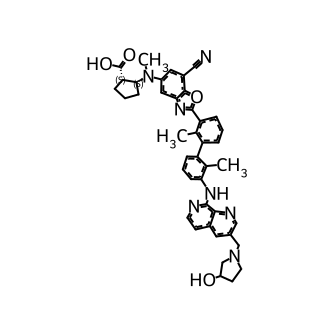 Cc1c(Nc2nccc3cc(CN4CCC(O)C4)cnc23)cccc1-c1cccc(-c2nc3cc(N(C)[C@H]4CCC[C@@H]4C(=O)O)cc(C#N)c3o2)c1C